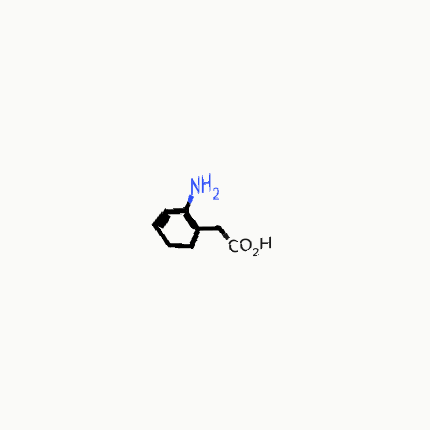 NC1=C(CC(=O)O)CCC=C1